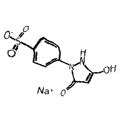 O=c1cc(O)[nH]n1-c1ccc(S(=O)(=O)[O-])cc1.[Na+]